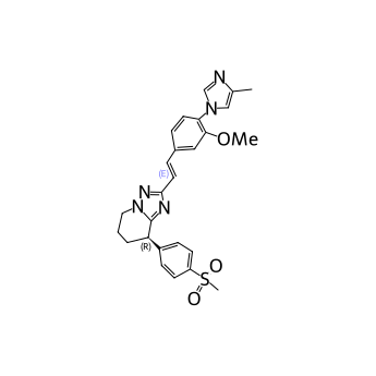 COc1cc(/C=C/c2nc3n(n2)CCC[C@@H]3c2ccc(S(C)(=O)=O)cc2)ccc1-n1cnc(C)c1